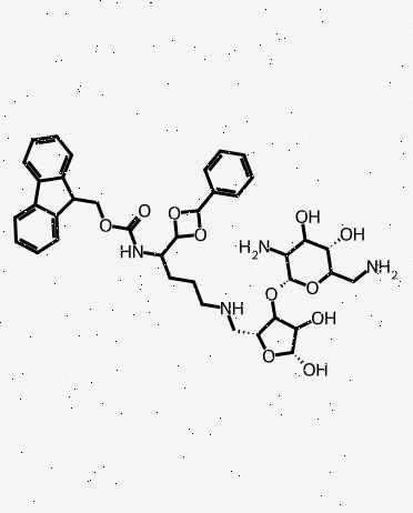 NCC1O[C@H](OC2C(O)[C@H](O)O[C@@H]2CNCCCC(NC(=O)OCC2c3ccccc3-c3ccccc32)C2OC(c3ccccc3)O2)C(N)C(O)[C@@H]1O